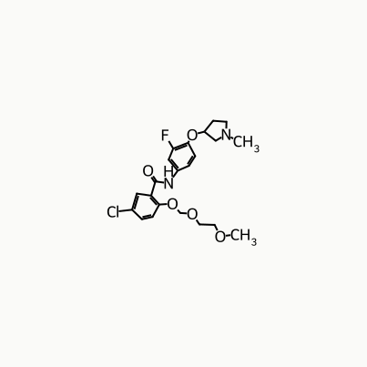 COCCOCOc1ccc(Cl)cc1C(=O)Nc1ccc(OC2CCN(C)C2)c(F)c1